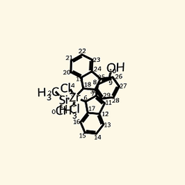 C[SiH](C)[Zr]([Cl])([Cl])([CH]1C(CCO)=Cc2ccccc21)[CH]1c2ccccc2-c2ccccc21